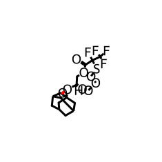 O=C(COC(=O)C(F)(SOOO)C(F)(F)F)OC12CC3CC(C1)C(=O)C(C3)C2